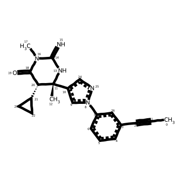 CC#Cc1cccc(-n2cc([C@@]3(C)NC(=N)N(C)C(=O)[C@H]3C3CC3)cn2)c1